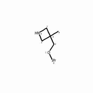 CC(C)OCC1(C)CNC1